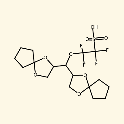 O=S(=O)(O)C(F)(F)C(F)(F)OC(C1COC2(CCCC2)O1)C1COC2(CCCC2)O1